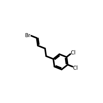 Clc1ccc(CCC=CBr)cc1Cl